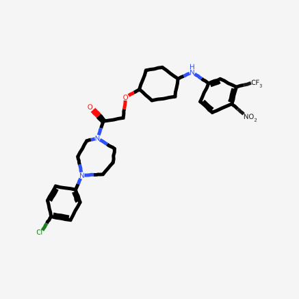 O=C(COC1CCC(Nc2ccc([N+](=O)[O-])c(C(F)(F)F)c2)CC1)N1CCCN(c2ccc(Cl)cc2)CC1